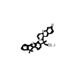 CC1(CC(=O)O)C2=C3C=C4C=CC(=O)C=C4OC3CCN2c2c1ccc1c3c(sc21)-c1ccccc1C3(C)C